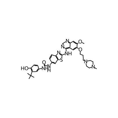 COc1cc2ncnc(Nc3nc4ccc(NC(=O)Nc5ccc(O)c(C(C)(C)C)c5)cc4s3)c2cc1OCCCN1CCN(C)CC1